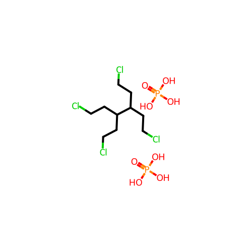 ClCCC(CCCl)C(CCCl)CCCl.O=P(O)(O)O.O=P(O)(O)O